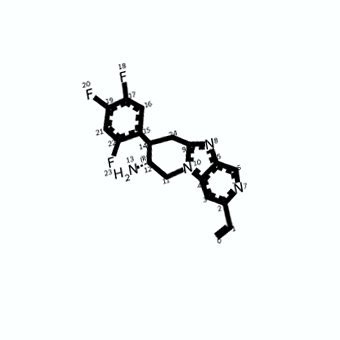 C=Cc1cc2c(cn1)nc1n2C[C@H](N)C(c2cc(F)c(F)cc2F)C1